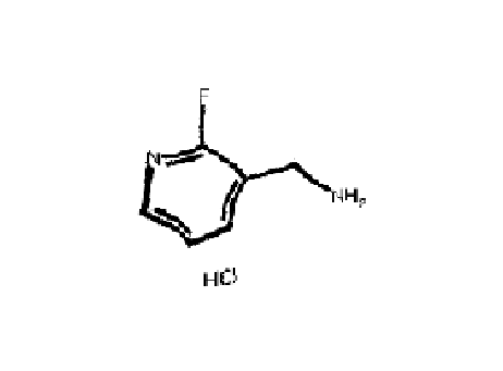 Cl.NCc1cccnc1F